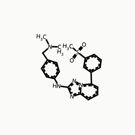 CN(C)Cc1ccc(Nc2nc3cccc(-c4cccc(S(C)(=O)=O)c4)n3n2)cc1